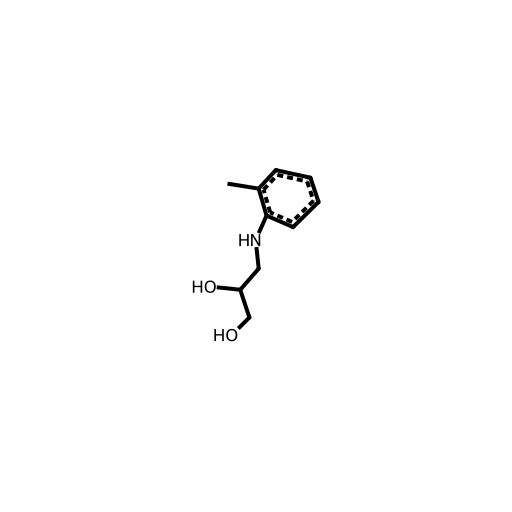 Cc1ccccc1NCC(O)CO